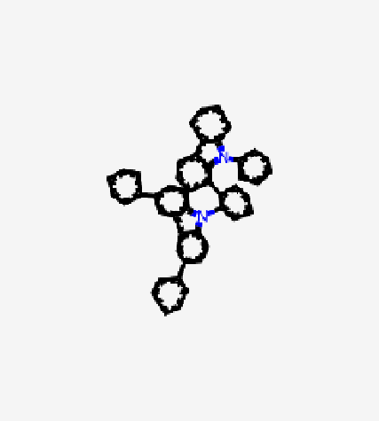 c1ccc(-c2ccc3c(c2)c2cc(-c4ccccc4)ccc2n3-c2ccccc2-c2cccc3c4ccccc4n(-c4ccccc4)c23)cc1